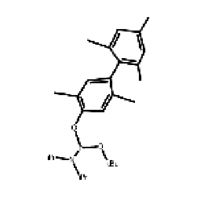 Cc1cc(C)c(-c2cc(C)c(OP(OC(C)(C)C)N(C(C)C)C(C)C)cc2C)c(C)c1